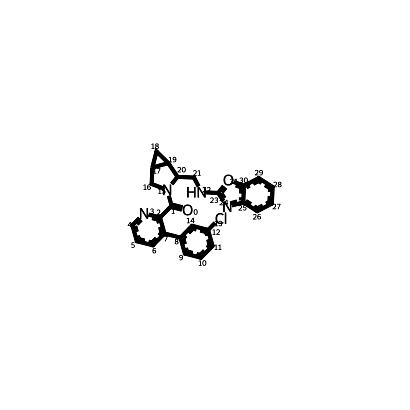 O=C(c1ncccc1-c1cccc(Cl)c1)N1CC2CC2C1CNc1nc2ccccc2o1